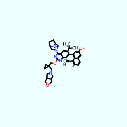 C#Cc1c(F)ccc2cc(O)cc(-c3c(C(C)C)cc4c(N5CC6CCC(C5)N6)nc(OCC5(CN6CC7COCC7C6)CC5)nc4c3F)c12